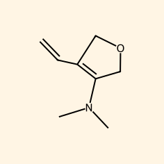 C=CC1=C(N(C)C)COC1